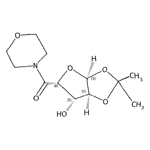 CC1(C)O[C@@H]2O[C@@H](C(=O)N3CCOCC3)[C@@H](O)[C@@H]2O1